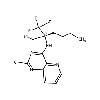 CCCC[C@](CO)(Nc1nc(Cl)nc2cccnc12)C(F)(F)F